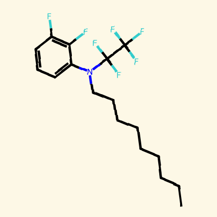 CCCCCCCCCN(c1cccc(F)c1F)C(F)(F)C(F)(F)F